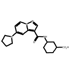 O=C(NC1CCCC(C(=O)O)C1)c1cnn2ccc(N3CCCC3)cc12